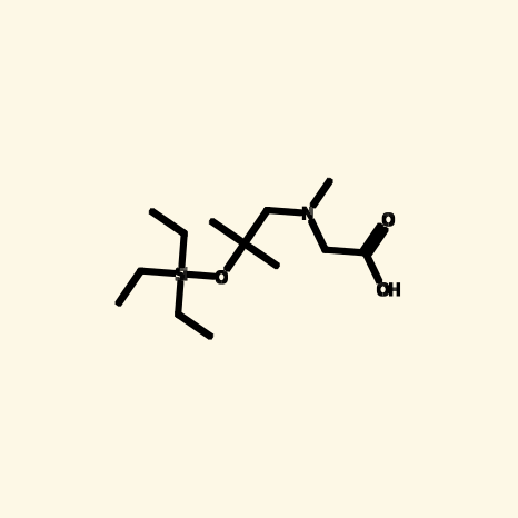 CC[Si](CC)(CC)OC(C)(C)CN(C)CC(=O)O